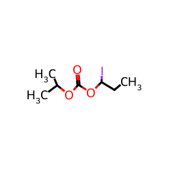 CCC(I)OC(=O)OC(C)C